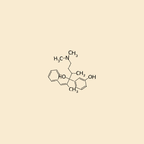 CC(=Cc1ccccc1)C(O)(c1cccc(O)c1)C(C)CCN(C)C